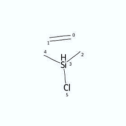 C=C.C[SiH](C)Cl